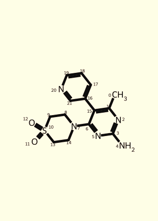 Cc1nc(N)nc(N2CCS(=O)(=O)CC2)c1-c1cccnc1